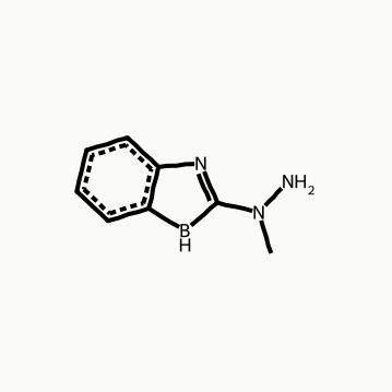 CN(N)C1=Nc2ccccc2B1